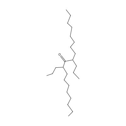 CCCCCCCCC(CCC)C(=O)C(CCC)CCCCCCCC